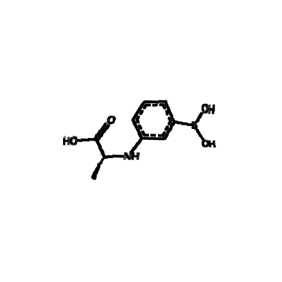 C[C@H](Nc1cccc(B(O)O)c1)C(=O)O